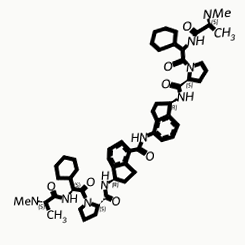 CN[C@@H](C)C(=O)NC(C(=O)N1CCC[C@H]1C(=O)N[C@@H]1CCc2c(NC(=O)c3cccc4c3CC[C@H]4NC(=O)[C@@H]3CCCN3C(=O)[C@@H](NC(=O)[C@H](C)NC)C3CCCCC3)cccc21)C1CCCCC1